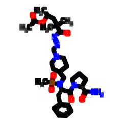 CC(=O)OC(C)CC(C)(C)C(=O)N=NCN1CCC(CN([C@H](Cc2ccccc2)C(=O)N2CCC[C@H]2C(N)=O)S(C)(=O)=O)CC1